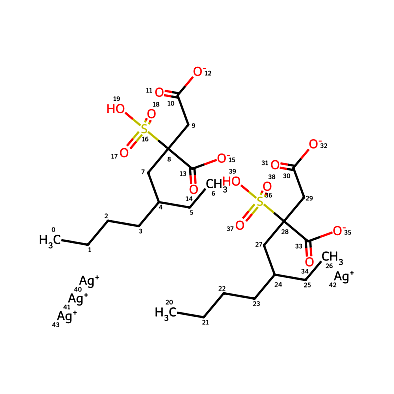 CCCCC(CC)CC(CC(=O)[O-])(C(=O)[O-])S(=O)(=O)O.CCCCC(CC)CC(CC(=O)[O-])(C(=O)[O-])S(=O)(=O)O.[Ag+].[Ag+].[Ag+].[Ag+]